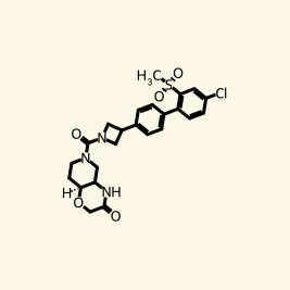 CS(=O)(=O)c1cc(Cl)ccc1-c1ccc(C2CN(C(=O)N3CC[C@@H]4OCC(=O)NC4C3)C2)cc1